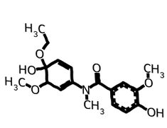 CCOC1(O)C=CC(N(C)C(=O)c2ccc(O)c(OC)c2)=CC1OC